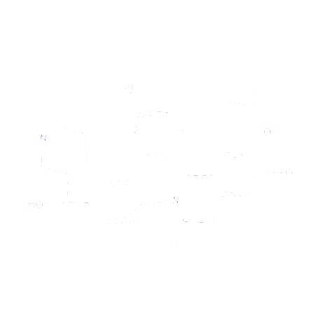 COc1cc2c(cc1OC(C)C)C(c1ccc(Cl)cc1)N(c1ccc([C@@](C)(O)[C@H]3CCCN(C)C3)cc1)C(=O)C2